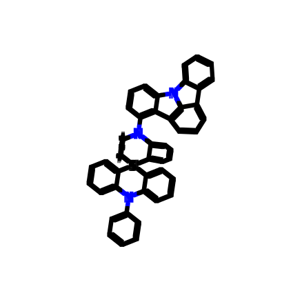 c1ccc(N2c3ccccc3[Si]3(c4ccccc42)c2ccccc2N(c2cccc4c2c2cccc5c6ccccc6n4c52)c2ccccc23)cc1